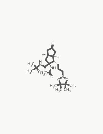 CC(=O)N[C@@]1(C(=O)NC(C)(C)C)C[C@H]2CC(=O)C[C@H]2[C@@H]1CCCB1OC(C)(C)C(C)(C)O1